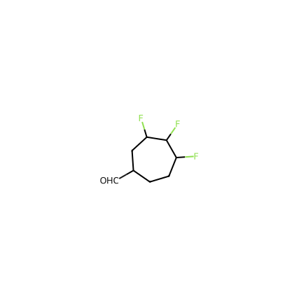 O=CC1CCC(F)C(F)C(F)C1